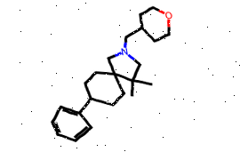 CC1(C)CN(CC2CCOCC2)CC12CC[C](c1ccccc1)CC2